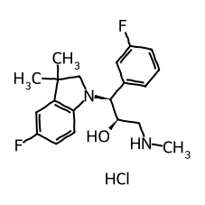 CNC[C@@H](O)[C@H](c1cccc(F)c1)N1CC(C)(C)c2cc(F)ccc21.Cl